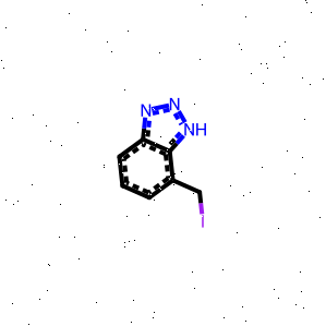 ICc1cccc2nn[nH]c12